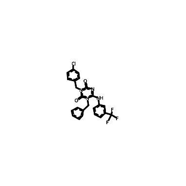 O=c1nc(Nc2cccc(C(F)(F)F)c2)n(Cc2ccccc2)c(=O)n1Cc1ccc(Cl)cc1